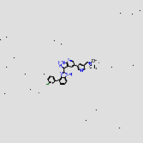 CN(C)Cc1cncc(-c2cnc3[nH]nc(-c4nc5c(-c6cccc(F)c6)cccc5[nH]4)c3c2)c1